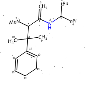 C=C(NC(CCC)C(C)(C)C)C(NC)C(C)(C)C1=CCCC=C1